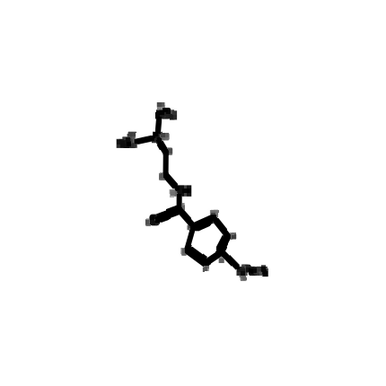 CCCCCc1ccc(C(=O)NCCN(CCCC)CCCC)cc1